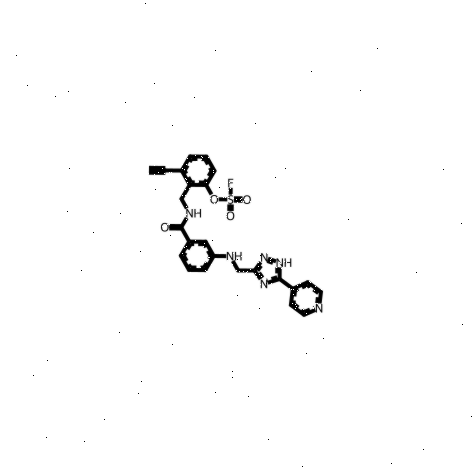 C#Cc1cccc(OS(=O)(=O)F)c1CNC(=O)c1cccc(NCc2n[nH]c(-c3ccncc3)n2)c1